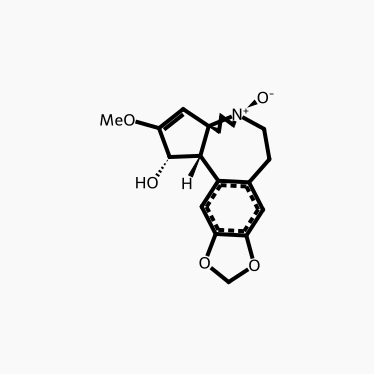 COC1=C[C@]23CCC[N@@+]2([O-])CCc2cc4c(cc2[C@@H]3[C@@H]1O)OCO4